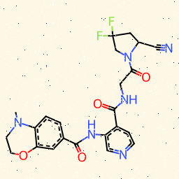 CN1CCOc2cc(C(=O)Nc3cnccc3C(=O)NCC(=O)N3CC(F)(F)CC3C#N)ccc21